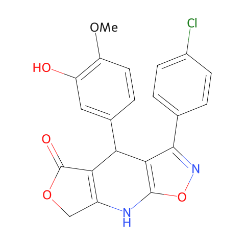 COc1ccc(C2C3=C(COC3=O)Nc3onc(-c4ccc(Cl)cc4)c32)cc1O